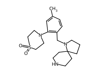 Cc1ccc(CN2CCCC23CCNCC3)c(N2CCS(=O)(=O)CC2)c1